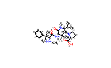 CN[C@H](C(=O)N[C@H](C(=O)N(C)[C@H](CN1CCC[C@H]1C(=O)O)C(C)C)C(C)(C)C)C(C)(C)c1ccccc1